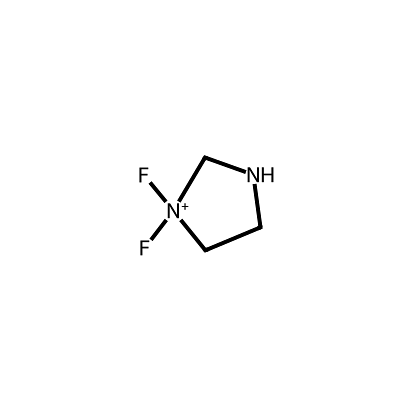 F[N+]1(F)CCNC1